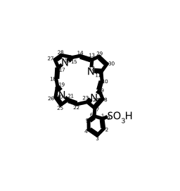 O=S(=O)(O)c1ccccc1C1=CC2=CC3=NC(=CC4=NC(=CC5=NC(=CC1=N2)C=C5)C=C4)C=C3